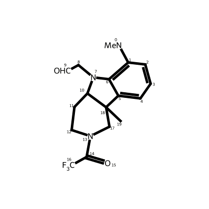 CNc1cccc2c1N(CC=O)C1CCN(C(=O)C(F)(F)F)CC21C